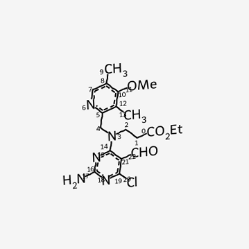 CCOC(=O)CCN(Cc1ncc(C)c(OC)c1C)c1nc(N)nc(Cl)c1C=O